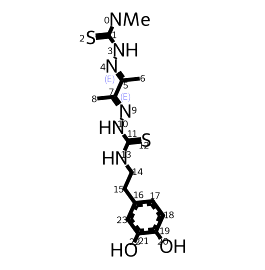 CNC(=S)N/N=C(C)/C(C)=N/NC(=S)NCCc1ccc(O)c(O)c1